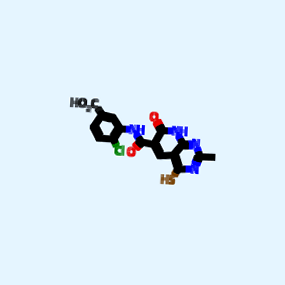 Cc1nc(S)c2cc(C(=O)Nc3cc(C(=O)O)ccc3Cl)c(=O)[nH]c2n1